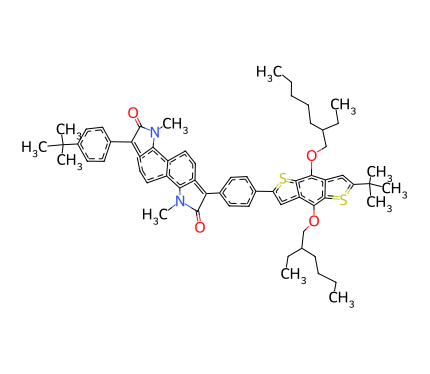 CCCCCC(CC)COc1c2cc(C(C)(C)C)sc2c(OCC(CC)CCCC)c2cc(-c3ccc(C4=c5ccc6c7c(ccc6c5N(C)C4=O)=C(c4ccc(C(C)(C)C)cc4)C(=O)N7C)cc3)sc12